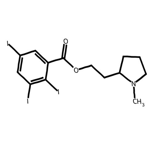 CN1CCCC1CCOC(=O)c1cc(I)cc(I)c1I